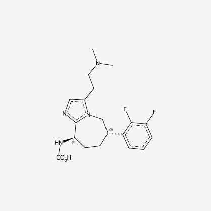 CN(C)CCc1cnc2n1C[C@H](c1cccc(F)c1F)CC[C@H]2NC(=O)O